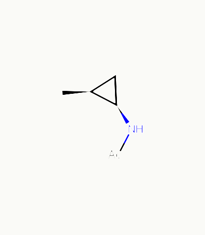 CC(=O)N[C@@H]1C[C@@H]1C